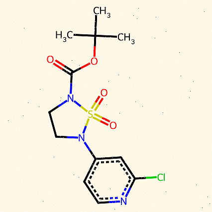 CC(C)(C)OC(=O)N1CCN(c2ccnc(Cl)c2)S1(=O)=O